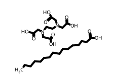 CCCCCCCCCCCCCCCC(=O)O.O=C(O)CN(CCN(CC(=O)O)CC(=O)O)CC(=O)O